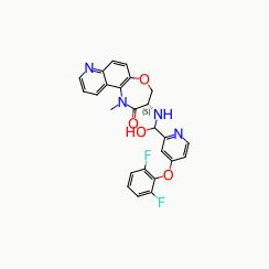 CN1C(=O)[C@@H](NC(O)c2cc(Oc3c(F)cccc3F)ccn2)COc2ccc3ncccc3c21